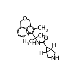 Cc1c2c3c(cccn3c1C(C)(C)NC(=O)[C@H]1[C@@H]3CNC[C@@H]31)COC2